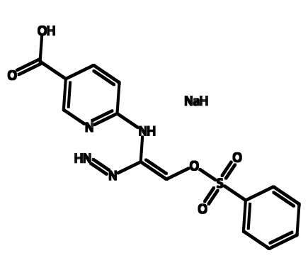 N=N/C(=C/OS(=O)(=O)c1ccccc1)Nc1ccc(C(=O)O)cn1.[NaH]